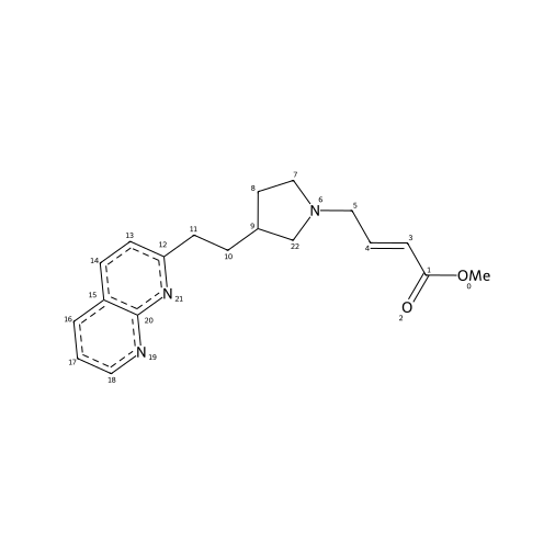 COC(=O)C=CCN1CCC(CCc2ccc3cccnc3n2)C1